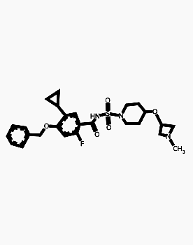 CN1CC(OC2CCN(S(=O)(=O)NC(=O)c3cc(C4CC4)c(OCc4ccccc4)cc3F)CC2)C1